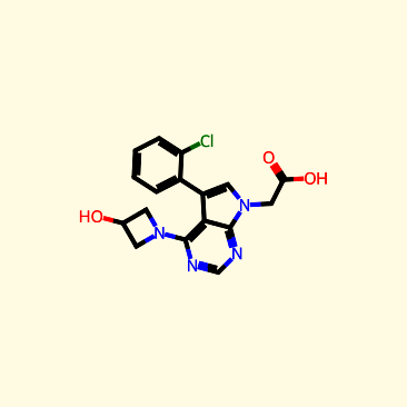 O=C(O)Cn1cc(-c2ccccc2Cl)c2c(N3CC(O)C3)ncnc21